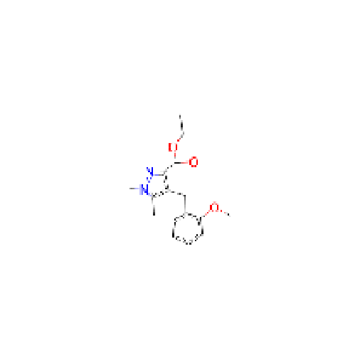 CCOC(=O)c1nn(C)c(C)c1Cc1ccccc1OC